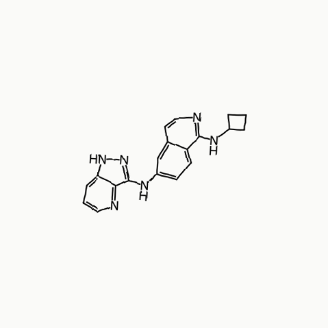 c1cnc2c(Nc3ccc4c(NC5CCC5)nccc4c3)n[nH]c2c1